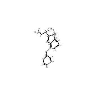 CCC(C)c1[c]c2c(Cc3ccccc3)cccc2[nH]1